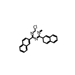 C=N/C(=N\C(=N/CCl)c1ccc2ccccc2c1)C1C=c2ccccc2=CC1